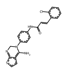 NC1=c2ccsc2=NCN1c1ccc(NC(=O)C=Cc2ccccc2Cl)cc1